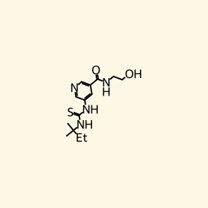 CCC(C)(C)NC(=S)Nc1cncc(C(=O)NCCO)c1